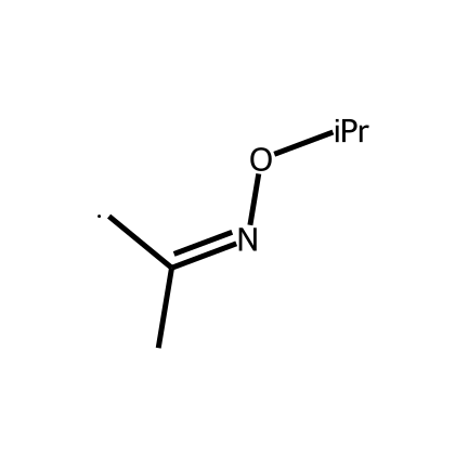 [CH2]/C(C)=N\OC(C)C